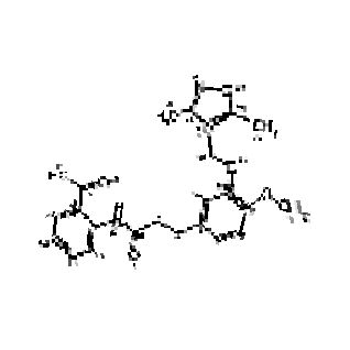 COc1ccc(CCC(=O)Nc2ccccc2C(=O)O)cc1OCc1c(C)noc1C